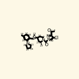 CC(=O)c1nn(C(=O)N2CCC(N(C)Cc3ccc(C)cc3N3CCCC3)C[C@@H]2C)cc1Cl